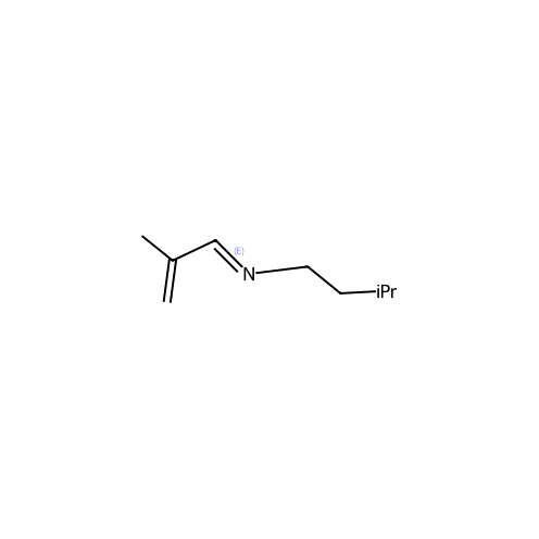 C=C(C)/C=N/CCC(C)C